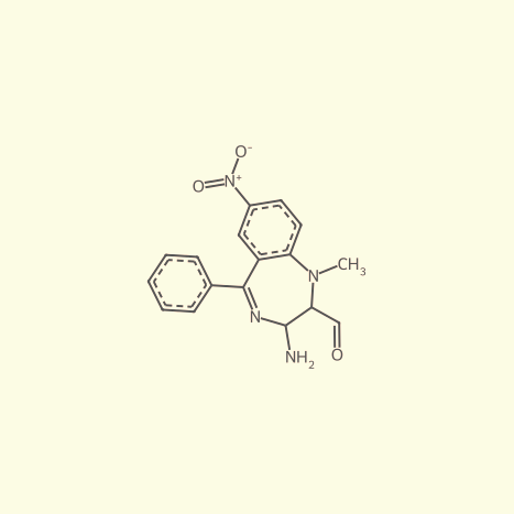 CN1c2ccc([N+](=O)[O-])cc2C(c2ccccc2)=NC(N)C1C=O